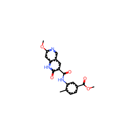 COC(=O)c1ccc(C)c(NC(=O)c2cc3cnc(OC)cc3[nH]c2=O)c1